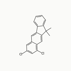 CC1(C)c2ccccc2-c2cc3cc(Cl)cc(Cl)c3cc21